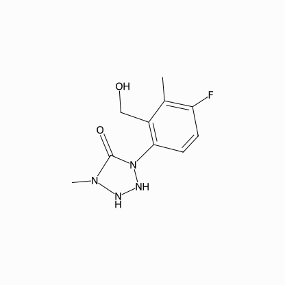 Cc1c(F)ccc(N2NNN(C)C2=O)c1CO